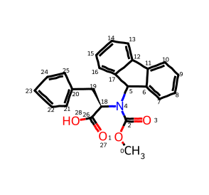 COC(=O)N(C1c2ccccc2-c2ccccc21)[C@H](Cc1ccccc1)C(=O)O